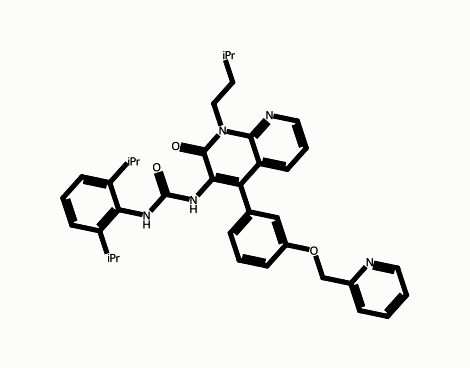 CC(C)CCn1c(=O)c(NC(=O)Nc2c(C(C)C)cccc2C(C)C)c(-c2cccc(OCc3ccccn3)c2)c2cccnc21